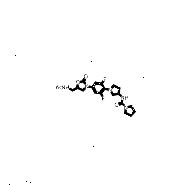 CC(=O)NCC1CN(c2cc(F)c(N3CCC(NC(=O)N4CCCC4)C3)c(F)c2)C(=O)O1